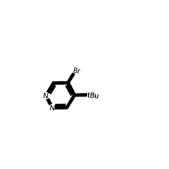 CC(C)(C)c1cnncc1Br